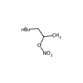 CCCCCC(C)O[N+](=O)[O-]